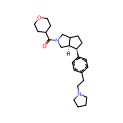 O=C(C1CCOCC1)N1CC2CC[C@@H](c3ccc(CCN4CCCC4)cc3)[C@H]2C1